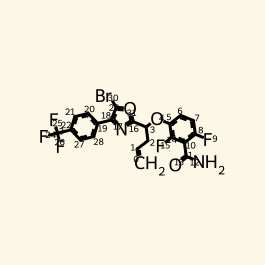 C=CCC(Oc1ccc(F)c(C(N)=O)c1F)c1nc(-c2ccc(C(F)(F)F)cc2)c(Br)o1